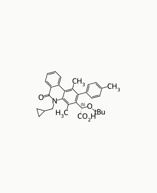 Cc1ccc(-c2c([C@H](OC(C)(C)C)C(=O)O)c(C)c3c(c2C)c2ccccc2c(=O)n3CC2CC2)cc1